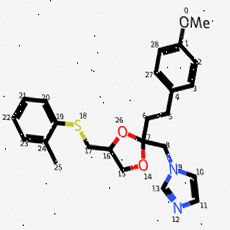 COc1ccc(CCC2(Cn3ccnc3)OCC(CSc3ccccc3C)O2)cc1